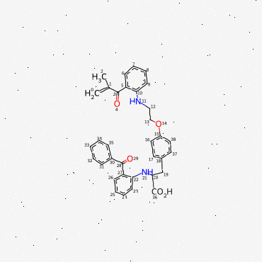 C=C(C)C(=O)c1ccccc1NCCOc1ccc(CC(Nc2ccccc2C(=O)c2ccccc2)C(=O)O)cc1